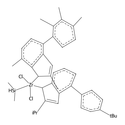 CC1=Cc2c(-c3ccc(C)c(C)c3C)ccc(C)c2[CH]1[Zr]([Cl])([Cl])([CH]1C(C(C)C)=Cc2c(-c3ccc(C(C)(C)C)cc3)cccc21)[SiH](C)C